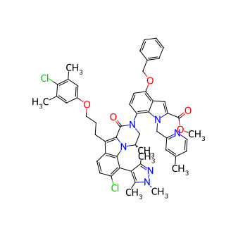 COC(=O)c1cc2c(OCc3ccccc3)ccc(N3C[C@@H](C)n4c(c(CCCOc5cc(C)c(Cl)c(C)c5)c5ccc(Cl)c(-c6c(C)nn(C)c6C)c54)C3=O)c2n1Cc1cc(C)ccn1